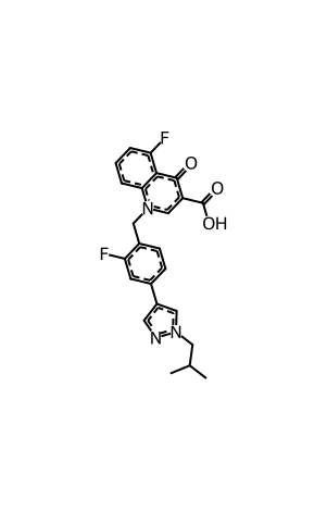 CC(C)Cn1cc(-c2ccc(Cn3cc(C(=O)O)c(=O)c4c(F)cccc43)c(F)c2)cn1